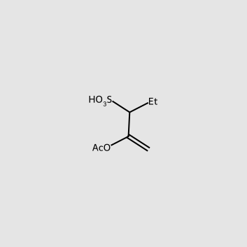 C=C(OC(C)=O)C(CC)S(=O)(=O)O